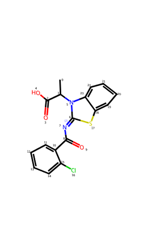 CC(C(=O)O)n1/c(=N/C(=O)c2ccccc2Cl)sc2ccccc21